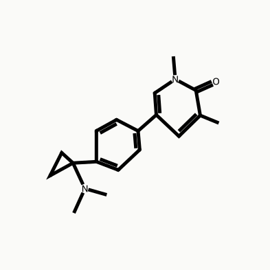 Cc1cc(-c2ccc(C3(N(C)C)CC3)cc2)cn(C)c1=O